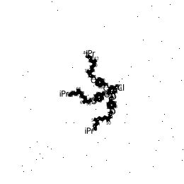 CC(C)CCCC(C)CCCC(C)CCOc1ccc(COc2cc(CCl)cc(OCc3ccc(OCCC(C)CCCC(C)CCCC(C)C)cc3)c2OCc2ccc(OCCC(C)CCCC(C)CCCC(C)C)cc2)cc1